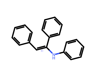 C(=C(\Nc1ccccc1)c1ccccc1)/c1ccccc1